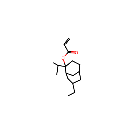 C=CC(=O)OC1(C(C)C)CCC2CC(CC)CC1C2